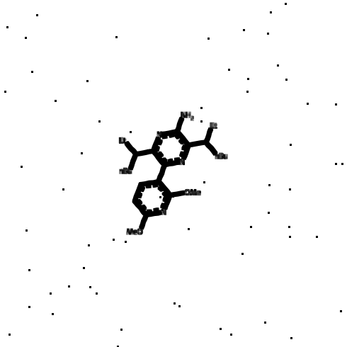 CCCCC(CC)c1nc(-c2ccc(OC)nc2OC)c(C(CC)CCCC)nc1N